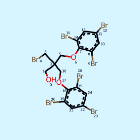 OCC(CBr)(COc1c(Br)cc(Br)cc1Br)COc1c(Br)cc(Br)cc1Br